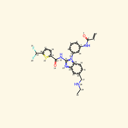 C=CC(=O)Nc1cccc(-n2c(NC(=O)c3ccc(C(F)F)s3)nc3cc(CNCC)ccc32)c1